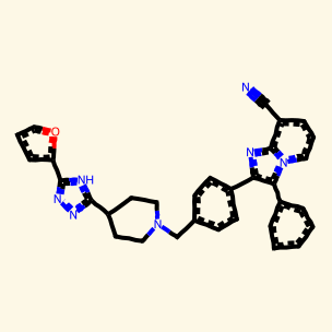 N#Cc1cccn2c(-c3ccccc3)c(-c3ccc(CN4CCC(c5nnc(-c6ccco6)[nH]5)CC4)cc3)nc12